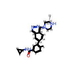 Cc1ccc(C(=O)NC2CC2)cc1-c1ccc2c(N3CCN[C@@H](C)C3)nncc2c1